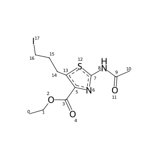 CCOC(=O)c1nc(NC(C)=O)sc1CCCI